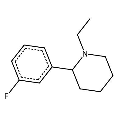 CCN1CCCCC1c1cccc(F)c1